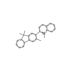 Cc1cc2c(cc1-c1ccc3ccccc3[n+]1C)C(C)(C)c1ccccc1-2